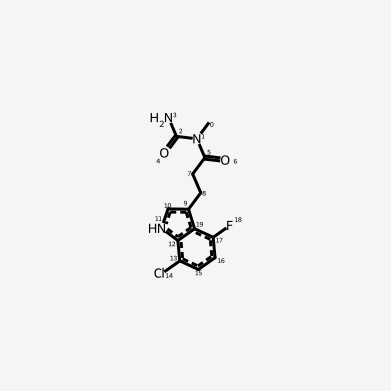 CN(C(N)=O)C(=O)CCc1c[nH]c2c(Cl)ccc(F)c12